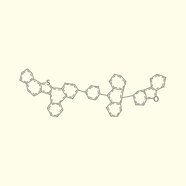 c1ccc2c(c1)ccc1c2sc2c3ccc(-c4ccc(-c5c6ccccc6c(-c6ccc7oc8ccccc8c7c6)c6ccccc56)cc4)cc3c3ccccc3c12